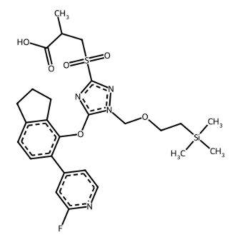 CC(CS(=O)(=O)c1nc(Oc2c(-c3ccnc(F)c3)ccc3c2CCC3)n(COCC[Si](C)(C)C)n1)C(=O)O